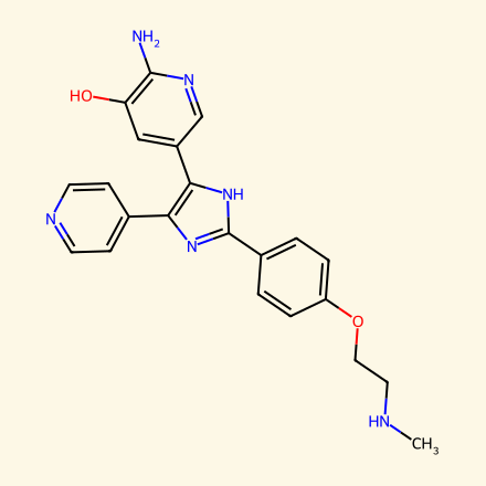 CNCCOc1ccc(-c2nc(-c3ccncc3)c(-c3cnc(N)c(O)c3)[nH]2)cc1